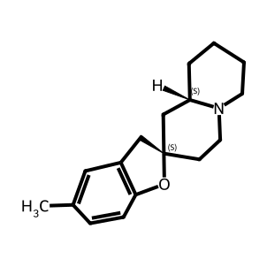 Cc1ccc2c(c1)C[C@@]1(CCN3CCCC[C@H]3C1)O2